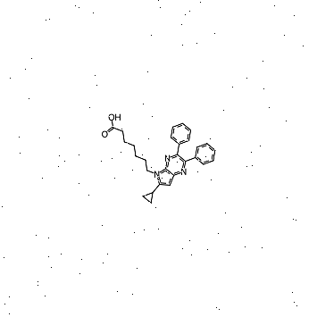 O=C(O)CCCCCCn1c(C2CC2)cc2nc(-c3ccccc3)c(-c3ccccc3)nc21